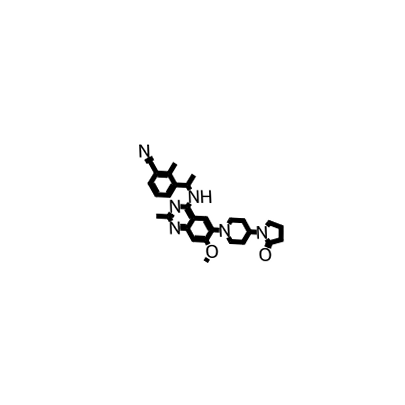 COc1cc2nc(C)nc(NC(C)c3cccc(C#N)c3C)c2cc1N1CCC(N2CCCC2=O)CC1